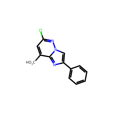 O=C(O)c1cc(Cl)nn2cc(-c3ccccc3)nc12